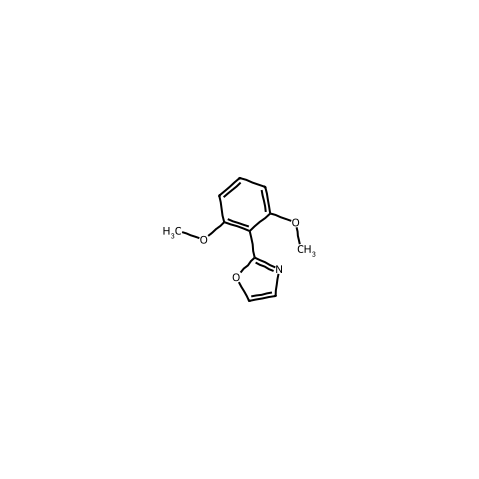 COc1cccc(OC)c1-c1ncco1